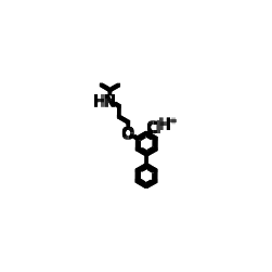 CC(C)NCCCOc1cccc(-c2ccccc2)c1.[Cl-].[H+]